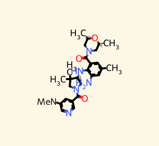 CNc1cncc(C(=O)N2C[C@H](Nc3c(N)cc(C)cc3C(=O)N3C[C@@H](C)O[C@@H](C)C3)C(C)(C)C2)c1